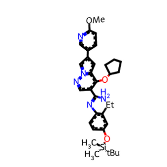 CCc1cc(O[Si](C)(C)C(C)(C)C)ccc1/N=C(\N)c1cnn2cc(-c3ccc(OC)nc3)cc2c1OC1CCCC1